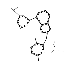 CC(C)(C)[S@+]([O-])N[C@@H](c1cc2cccc(-c3cc([C@](C)(O)C(F)(F)F)ccn3)c2s1)c1nc(Cl)ccc1Cl